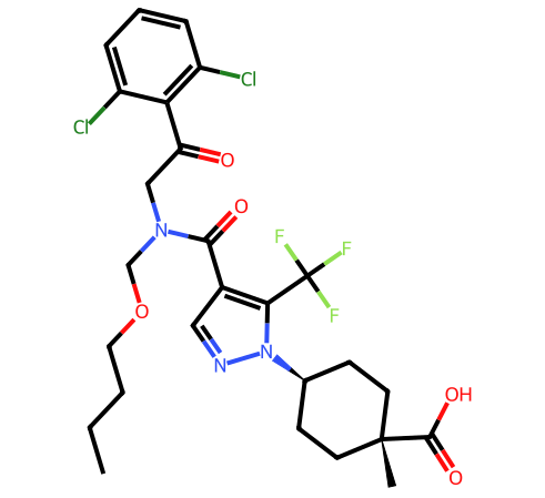 CCCCOCN(CC(=O)c1c(Cl)cccc1Cl)C(=O)c1cnn([C@H]2CC[C@](C)(C(=O)O)CC2)c1C(F)(F)F